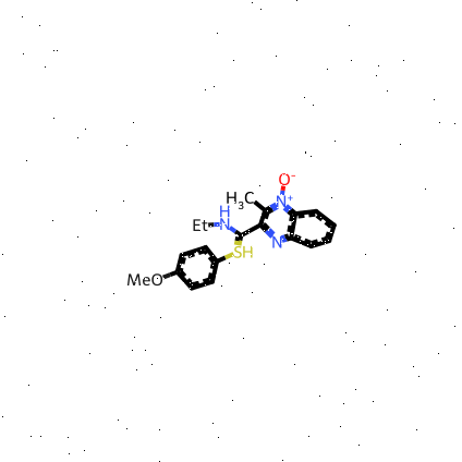 CCNC(=[SH]c1ccc(OC)cc1)c1nc2ccccc2[n+]([O-])c1C